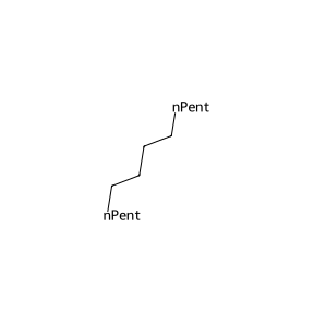 [CH2]CCCCCCCCC[CH]CCC